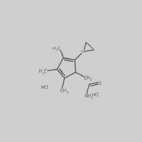 CC1=C(C)C(C)[C]([Ti]2[CH2][CH2]2)=C1C.Cl.Cl.NC=O